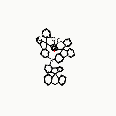 c1ccc2c(c1)Cc1ccccc1C21c2ccccc2-c2c(N(c3ccc4c(c3)C3(c5ccccc5Oc5ccccc53)c3ccccc3-4)c3ccc4c(c3)C3(c5ccccc5Oc5ccccc53)c3ccccc3-4)cccc21